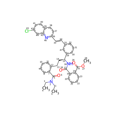 CCN(CC)C(=O)c1ccccc1CC[C@H](NC(=O)c1ccccc1C(=O)OC)c1cccc(/C=C/c2ccc3ccc(Cl)cc3n2)c1